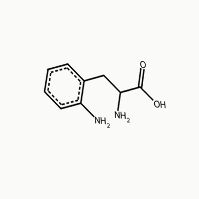 Nc1ccccc1CC(N)C(=O)O